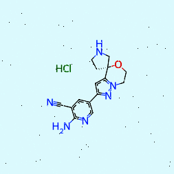 Cl.N#Cc1cc(-c2cc3n(n2)CCO[C@@]32CCNC2)cnc1N